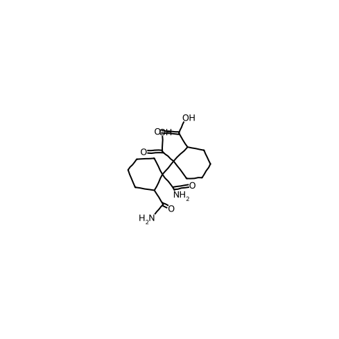 NC(=O)C1CCCCC1(C(N)=O)C1(C(=O)O)CCCCC1C(=O)O